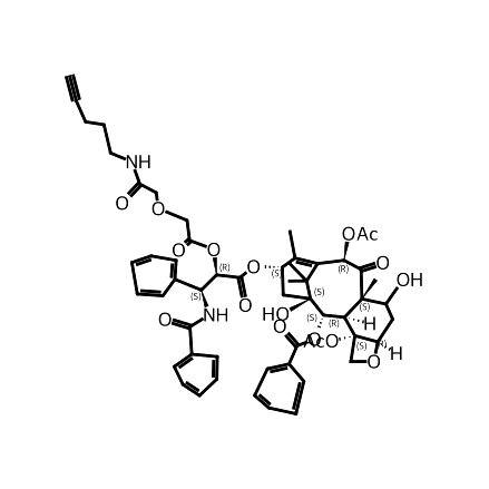 C#CCCCNC(=O)COCC(=O)O[C@@H](C(=O)O[C@H]1C[C@@]2(O)[C@@H](OC(=O)c3ccccc3)[C@@H]3[C@]4(OC(C)=O)CO[C@@H]4CC(O)[C@@]3(C)C(=O)[C@H](OC(C)=O)C(=C1C)C2(C)C)[C@@H](NC(=O)c1ccccc1)c1ccccc1